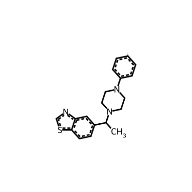 CC(c1ccc2scnc2c1)N1CCN(c2cc[c]cc2)CC1